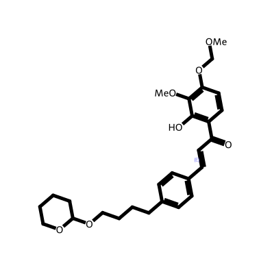 COCOc1ccc(C(=O)/C=C/c2ccc(CCCCOC3CCCCO3)cc2)c(O)c1OC